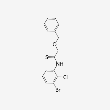 S=C(COCc1ccccc1)Nc1cccc(Br)c1Cl